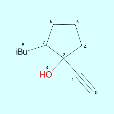 C#CC1(O)CCCC1C(C)CC